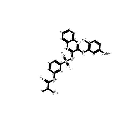 COc1ccc(Cl)c(Nc2nc3ccccc3nc2NS(=O)(=O)c2cccc(NC(=O)C(C)N)c2)c1